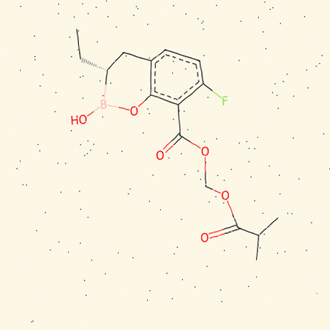 CC[C@@H]1Cc2ccc(F)c(C(=O)OCOC(=O)C(C)C)c2OB1O